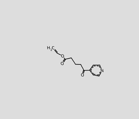 C=COC(=O)CCCC(=O)c1ccncc1